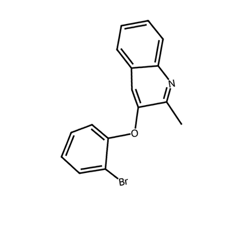 Cc1nc2ccccc2cc1Oc1ccccc1Br